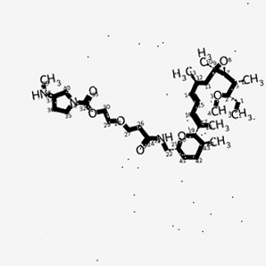 CC[C@H](OC)[C@@H](C)[C@H]1O[C@]1(C)C[C@H](C)/C=C/C=C(\C)[C@H]1O[C@@H](CNC(=O)CCOCCOC(=O)N2CCC(NC)C2)CC[C@@H]1C